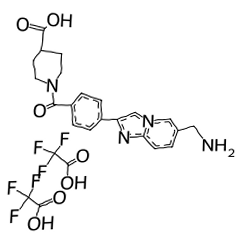 NCc1ccc2nc(-c3ccc(C(=O)N4CCC(C(=O)O)CC4)cc3)cn2c1.O=C(O)C(F)(F)F.O=C(O)C(F)(F)F